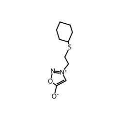 [O-]c1c[n+](CCSC2CCCCC2)no1